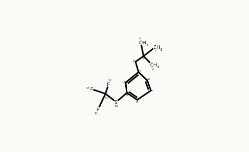 CC(C)(C)Cc1cccc(SC(F)(F)F)c1